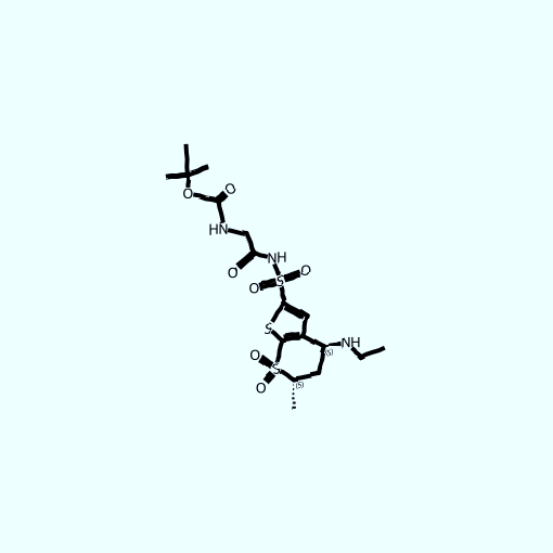 CCN[C@H]1C[C@H](C)S(=O)(=O)c2sc(S(=O)(=O)NC(=O)CNC(=O)OC(C)(C)C)cc21